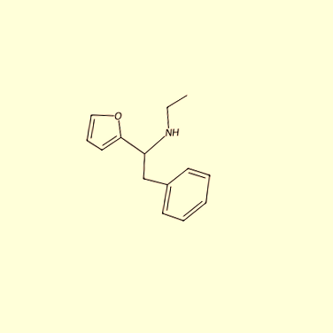 CCNC(Cc1ccccc1)c1ccco1